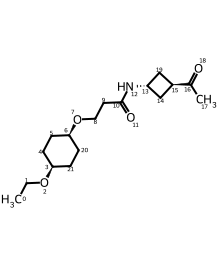 CCO[C@H]1CC[C@@H](OCCC(=O)N[C@H]2C[C@H](C(C)=O)C2)CC1